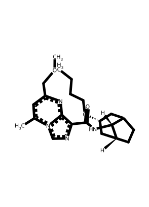 CCCCO[C@@H]1CC2CC[C@H](C1)[C@@H]2NC(=O)c1ncn2c(C)cc(COC)nc12